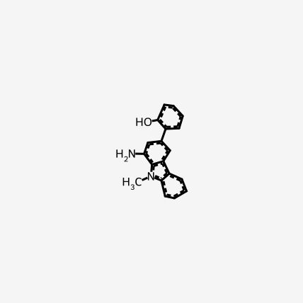 Cn1c2ccccc2c2cc(-c3ccccc3O)cc(N)c21